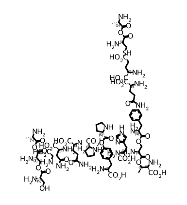 C[C@@H](OC(=O)[C@@H](N)COC(=O)[C@@H](N)Cc1ccccc1)[C@H](N)C(=O)O.C[C@H](N)C(=O)OC(=O)[C@@H](N)COC(=O)[C@@H](N)CO.C[C@H](N)C(=O)OC(=O)[C@@H](N)CS.NC(=O)CC[C@H](N)C(=O)O.NC(=O)CC[C@H](N)C(=O)O.NC(=O)C[C@H](N)C(=O)O.NCC(=O)O.N[C@@H](CCC(=O)O)C(=O)O.N[C@@H](Cc1c[nH]cn1)C(=O)O.N[C@@H](Cc1ccc(OC(=O)[C@@H]2CCCN2)cc1)C(=O)O.O=C(O)[C@@H]1CCCN1